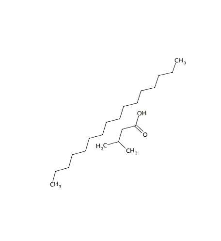 CC(C)CC(=O)O.CCCCCCCCCCCCCCCC